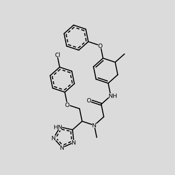 CC1CC(NC(=O)CN(C)C(COc2ccc(Cl)cc2)c2nnn[nH]2)=CC=C1Oc1ccccc1